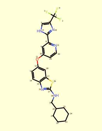 FC(F)(F)c1c[nH]c(-c2cc(Oc3ccc4nc(NCC5CCCCC5)sc4c3)ccn2)n1